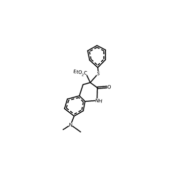 CCOC(=O)C1(Sc2ccccc2)Cc2ccc(N(C)C)cc2NC1=O